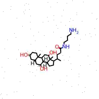 CC(CCC(=O)NCCCCN)C1CC[C@H]2[C@@H]3C(CC(O)C12C)C1(C)CC[C@@H](O)C[C@H]1C[C@@H]3O